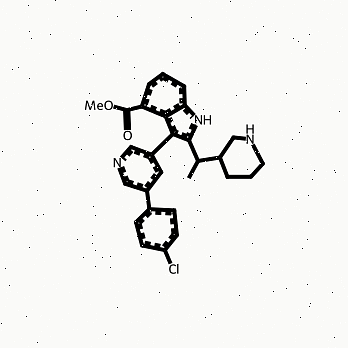 COC(=O)c1cccc2[nH]c(C(C)C3CCCNC3)c(-c3cncc(-c4ccc(Cl)cc4)c3)c12